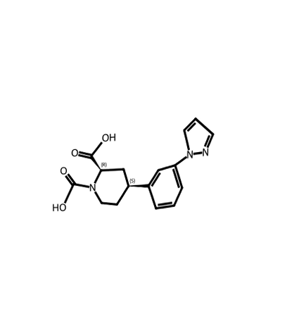 O=C(O)[C@H]1C[C@@H](c2cccc(-n3cccn3)c2)CCN1C(=O)O